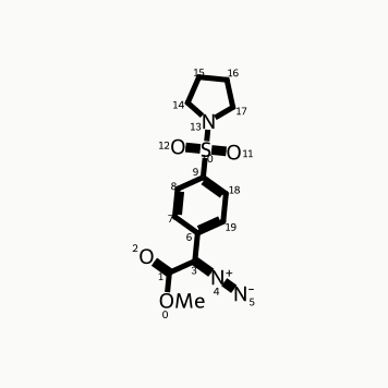 COC(=O)C(=[N+]=[N-])c1ccc(S(=O)(=O)N2CCCC2)cc1